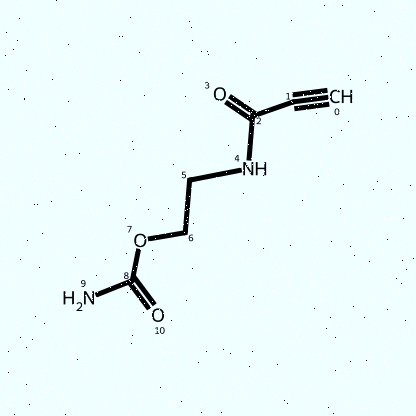 C#CC(=O)NCCOC(N)=O